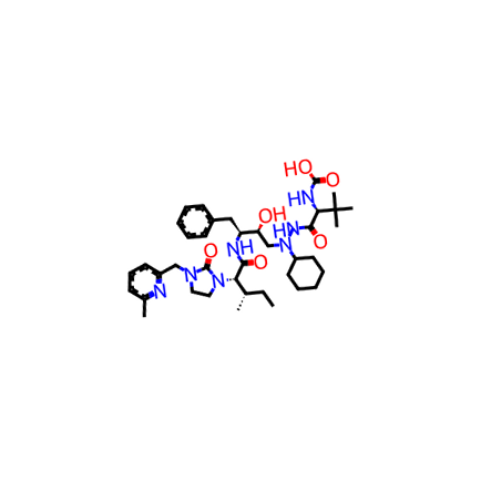 CC[C@H](C)[C@@H](C(=O)N[C@@H](Cc1ccccc1)[C@@H](O)CN(NC(=O)[C@@H](NC(=O)O)C(C)(C)C)C1CCCCC1)N1CCN(Cc2cccc(C)n2)C1=O